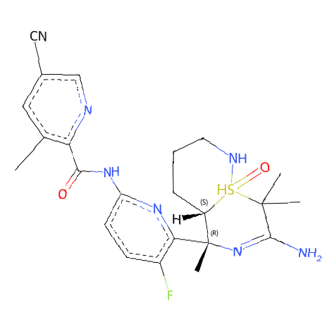 Cc1cc(C#N)cnc1C(=O)Nc1ccc(F)c([C@@]2(C)N=C(N)C(C)(C)[SH]3(=O)NCCC[C@@H]23)n1